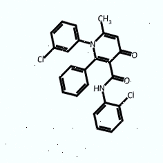 Cc1cc(=O)c(C(=O)Nc2ccccc2Cl)c(-c2ccccc2)n1-c1cccc(Cl)c1